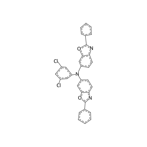 Clc1cc(Cl)cc(N(c2ccc3nc(-c4ccccc4)oc3c2)c2ccc3nc(-c4ccccc4)oc3c2)c1